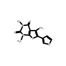 CCn1c(=O)c2c(C)c(-c3ccoc3)sc2n(C)c1=O